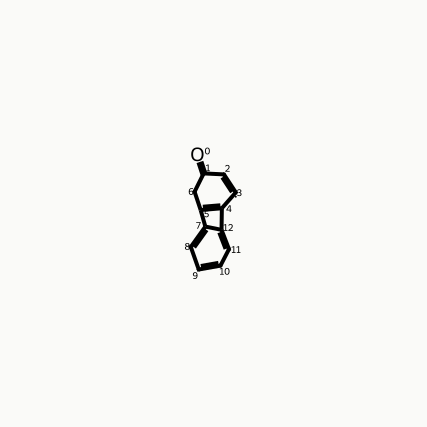 O=C1C=[C]C2=C(C1)c1ccccc12